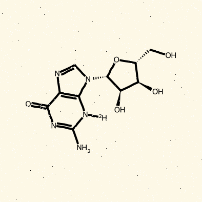 [2H]n1c(N)nc(=O)c2ncn([C@@H]3O[C@H](CO)[C@@H](O)[C@H]3O)c21